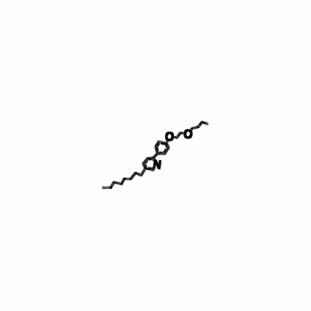 CCCCCCCCc1ccc(-c2ccc(OCCOCCCC)cc2)nc1